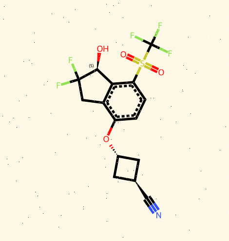 N#C[C@H]1C[C@H](Oc2ccc(S(=O)(=O)C(F)(F)F)c3c2CC(F)(F)[C@H]3O)C1